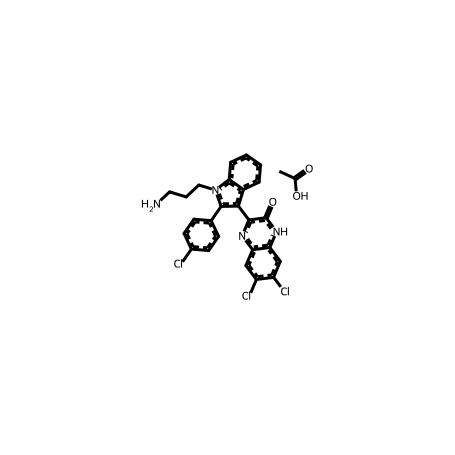 CC(=O)O.NCCCn1c(-c2ccc(Cl)cc2)c(-c2nc3cc(Cl)c(Cl)cc3[nH]c2=O)c2ccccc21